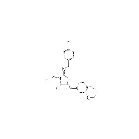 CC(C)CN1C(=O)/C(=C/c2ccc3c(c2)OCCO3)S/C1=N\Cc1ccc(F)cc1